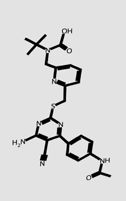 CC(=O)Nc1ccc(-c2nc(SCc3cccc(CN(C(=O)O)C(C)(C)C)n3)nc(N)c2C#N)cc1